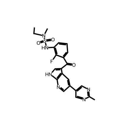 CCN(C)S(=O)(=O)Nc1cccc(C(=O)c2c[nH]c3ncc(-c4cnc(C)nc4)cc23)c1F